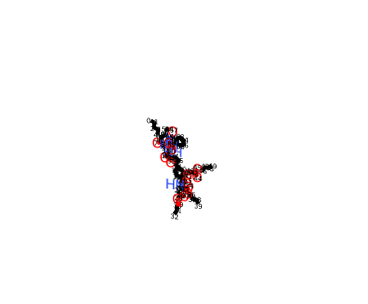 CCCCC[C@@H](C(=O)NCNC(=O)c1ccc(-c2ccc(C(=O)N[C@@H](CC(=O)OCCCC)C(=O)OCCCC)c(OCC(=O)OCCCC)c2)o1)[C@@H](CC)N(C=O)OC(=O)c1ccccc1